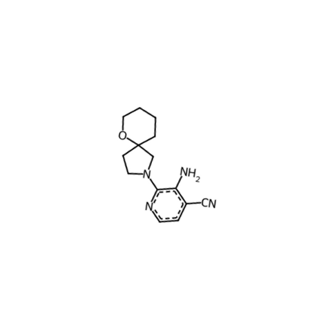 N#Cc1ccnc(N2CCC3(CCCCO3)C2)c1N